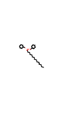 CCCCC=CCCCCCCCCCC(OCc1ccccc1)OCc1ccccc1